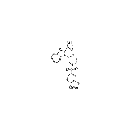 COc1ccc(S(=O)(=O)N2CCOC(c3c(C(N)=O)sc4ccccc34)C2)cc1F